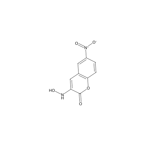 O=c1oc2ccc([N+](=O)[O-])cc2cc1NO